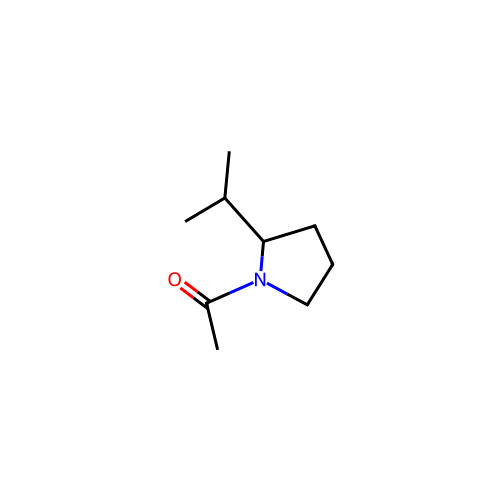 CC(=O)N1CCCC1C(C)C